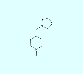 CN1CCC(=CN2CCCC2)CC1